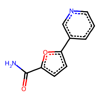 NC(=O)c1ccc(-c2cccnc2)o1